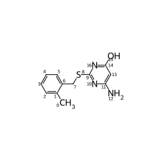 Cc1ccccc1CSc1nc(N)cc(O)n1